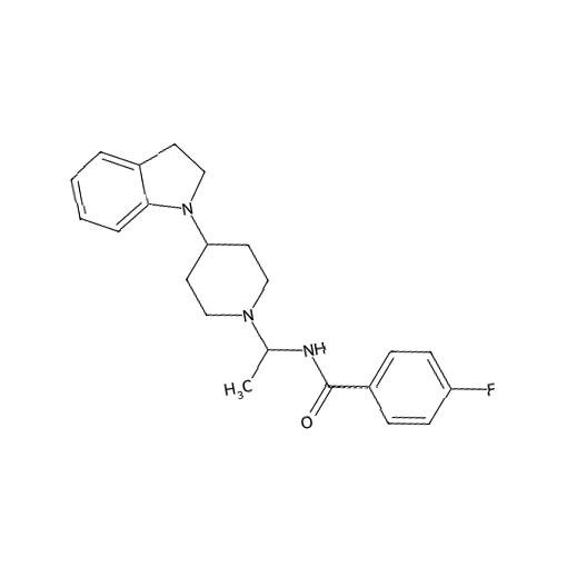 CC(NC(=O)c1ccc(F)cc1)N1CCC(N2CCc3ccccc32)CC1